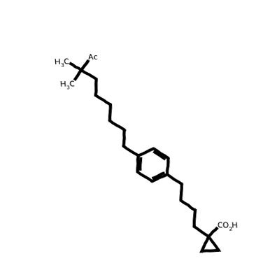 CC(=O)C(C)(C)CCCCCCc1ccc(CCCCC2(C(=O)O)CC2)cc1